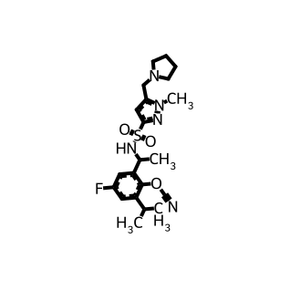 CC(C)c1cc(F)cc(C(C)NS(=O)(=O)c2cc(CN3CCCC3)n(C)n2)c1OC#N